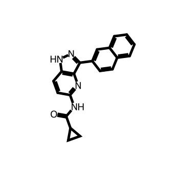 O=C(Nc1ccc2[nH]nc(-c3ccc4ccccc4c3)c2n1)C1CC1